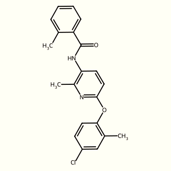 Cc1cc(Cl)ccc1Oc1ccc(NC(=O)c2ccccc2C)c(C)n1